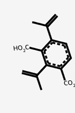 C=C(C)c1ccc(C(=O)O)c(C(=C)C)c1C(=O)O